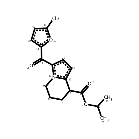 CC(C)OC(=O)C1CCCn2c(C(=O)c3ccc(Cl)o3)ccc21